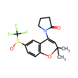 CC1(C)C=C(N2CCCC2=O)c2cc([S+]([O-])C(F)(F)F)ccc2O1